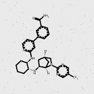 NC(=O)c1cccc(-c2ccnc(N[C@@H]3CCCC[C@H]3N[C@H]3C[C@@H]4C[C@H]3N(c3ncc(C(F)(F)F)cn3)C4)c2)c1